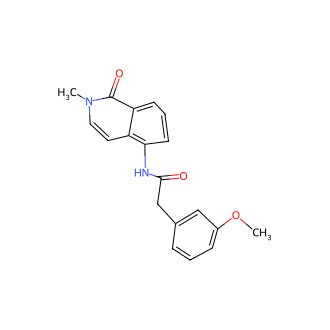 COc1cccc(CC(=O)Nc2cccc3c(=O)n(C)ccc23)c1